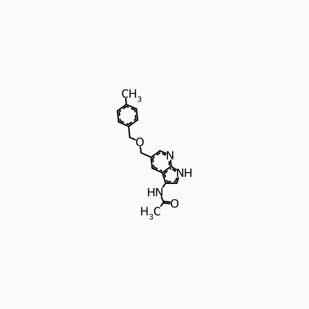 CC(=O)Nc1c[nH]c2ncc(COCc3ccc(C)cc3)cc12